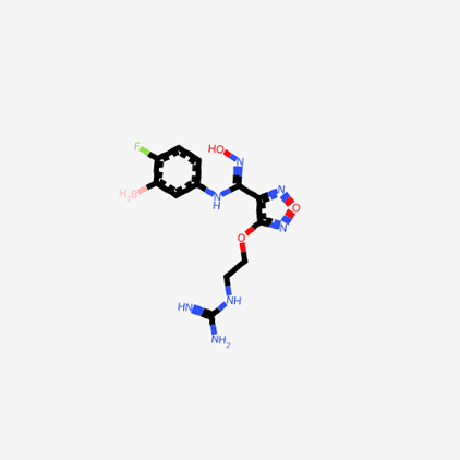 Bc1cc(N/C(=N\O)c2nonc2OCCNC(=N)N)ccc1F